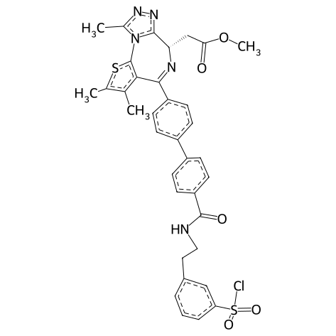 COC(=O)C[C@@H]1N=C(c2ccc(-c3ccc(C(=O)NCCc4cccc(S(=O)(=O)Cl)c4)cc3)cc2)c2c(sc(C)c2C)-n2c(C)nnc21